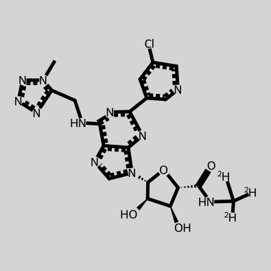 [2H]C([2H])([2H])NC(=O)[C@H]1O[C@@H](n2cnc3c(NCc4nnnn4C)nc(-c4cncc(Cl)c4)nc32)[C@H](O)[C@@H]1O